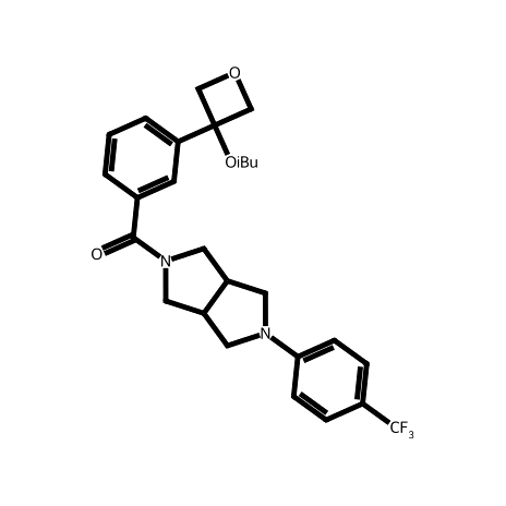 CC(C)COC1(c2cccc(C(=O)N3CC4CN(c5ccc(C(F)(F)F)cc5)CC4C3)c2)COC1